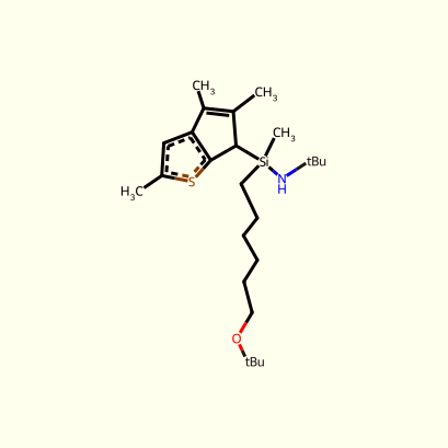 CC1=C(C)C([Si](C)(CCCCCCOC(C)(C)C)NC(C)(C)C)c2sc(C)cc21